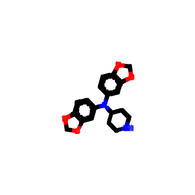 c1cc2c(cc1N(c1ccc3c(c1)OCO3)C1CCNCC1)OCO2